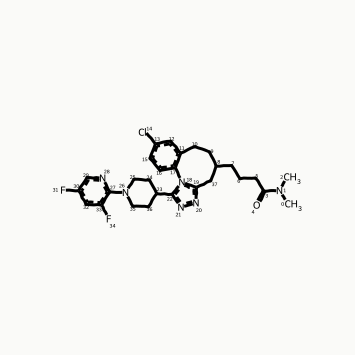 CN(C)C(=O)CCCC1CCc2cc(Cl)ccc2-n2c(nnc2C2CCN(c3ncc(F)cc3F)CC2)C1